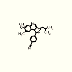 COc1cc2ncc3c(c(-c4ccc(C#N)cc4)nn3CC(C)C)c2cc1C